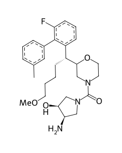 COCCCC[C@H](c1cccc(F)c1-c1cccc(C)c1)C1CN(C(=O)N2C[C@@H](N)[C@@H](O)C2)CCO1